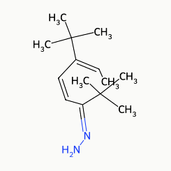 C\C=C(/C=C\C(=N/N)C(C)(C)C)C(C)(C)C